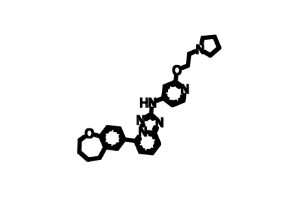 c1cc(-c2ccc3c(c2)CCCCO3)n2nc(Nc3ccnc(OCCN4CCCC4)c3)nc2c1